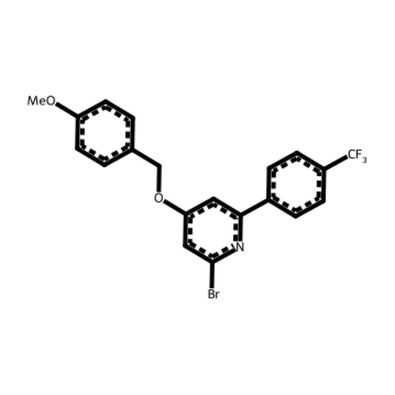 COc1ccc(COc2cc(Br)nc(-c3ccc(C(F)(F)F)cc3)c2)cc1